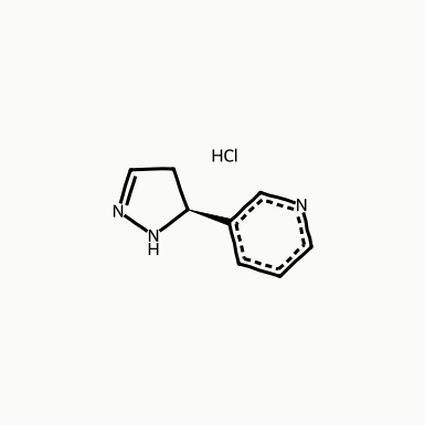 C1=NN[C@H](c2cccnc2)C1.Cl